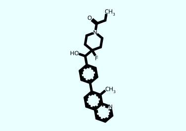 CCC(=O)N1CCC(F)(C(O)c2ccc(-c3ccc4cccnc4c3C)cc2)CC1